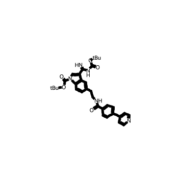 CC(C)(C)OC(=O)NC(=N)c1cn(C(=O)OC(C)(C)C)c2ccc(CCNC(=O)c3ccc(-c4ccncc4)cc3)cc12